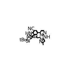 COCCn1nc(C)cc1Nc1nccc(-c2cc(C#N)c3c(c2)[C@](C)(CO[Si](C)(C)C(C)(C)C)CN3)n1